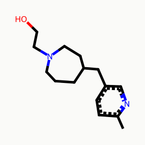 Cc1ccc(CC2CCCN(CCO)CC2)cn1